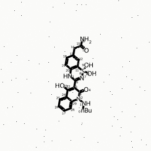 CCCCNn1c(=O)c(C2=NS(O)(O)c3cc(CC(N)=O)ccc3N2)c(O)c2ccccc21